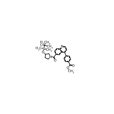 COC(=O)c1ccc(-c2ccnc3ccc(C(=O)N4CCC(O[Si](C)(C)C(C)(C)C)C4)cc23)cc1